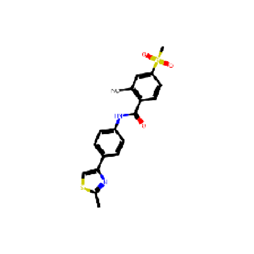 Cc1nc(-c2ccc(NC(=O)c3ccc(S(C)(=O)=O)cc3C#N)cc2)cs1